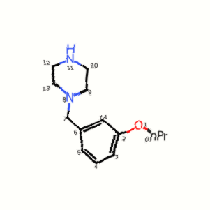 [CH2]CCOc1cccc(CN2CCNCC2)c1